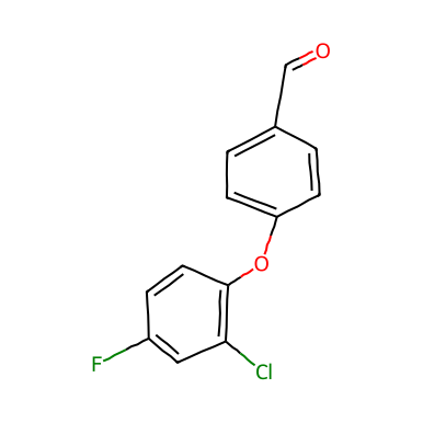 O=Cc1ccc(Oc2ccc(F)cc2Cl)cc1